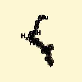 CCCCOCCOCCOCCCNC(=O)CN(C)C(=O)CCC(=O)Nc1ccc(CCN2CN(c3ccccc3)C3(CCN(CCCC(=O)c4ccc(F)cc4)CC3)C2=O)cc1